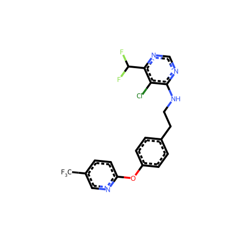 FC(F)c1ncnc(NCCc2ccc(Oc3ccc(C(F)(F)F)cn3)cc2)c1Cl